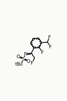 CC(C)(C)S(=O)(=O)/N=C(\CF)c1cccc(C(F)F)c1F